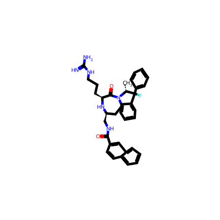 C[C@@H](N1CC[C@@H](CNC(=O)c2ccc3ccccc3c2)N[C@@H](CCCNC(=N)N)C1=O)C(F)(c1ccccc1)c1ccccc1